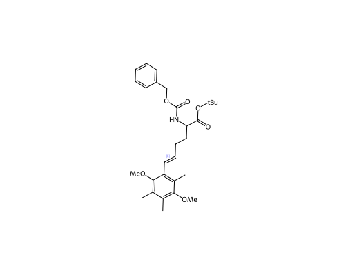 COc1c(C)c(C)c(OC)c(/C=C/CCC(NC(=O)OCc2ccccc2)C(=O)OC(C)(C)C)c1C